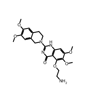 COc1cc2c(cc1OC)CN(c1nc(=O)c3c(OCCN)c(OC)c(OC)cc3[nH]1)CC2